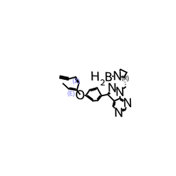 BN1CC[C@@H]1Cn1nc(-c2ccc(OC(/C=C\C#C)=C/C)cc2)c2cncnc21